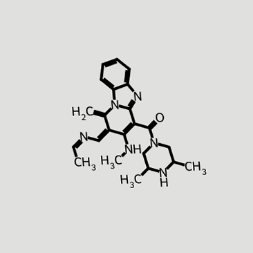 C=c1/c(=C\N=C/C)c(NC)c(C(=O)N2CC(C)NC(C)C2)c2nc3ccccc3n12